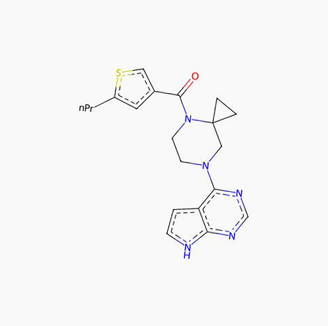 CCCc1cc(C(=O)N2CCN(c3ncnc4[nH]ccc34)CC23CC3)cs1